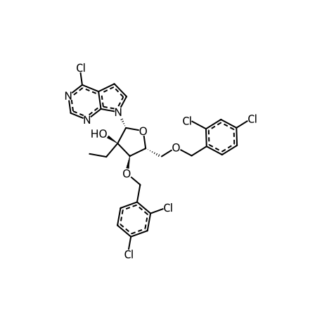 CC[C@@]1(O)[C@H](OCc2ccc(Cl)cc2Cl)[C@@H](COCc2ccc(Cl)cc2Cl)O[C@H]1n1ccc2c(Cl)ncnc21